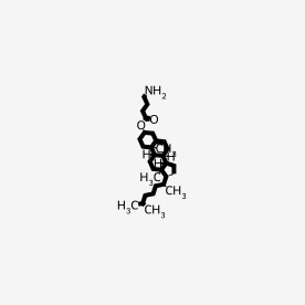 CC(C)CCC[C@@H](C)[C@H]1CC[C@H]2[C@@H]3CC=C4C[C@@H](OC(=O)CCCN)CC[C@]4(C)[C@H]3CC[C@]12C